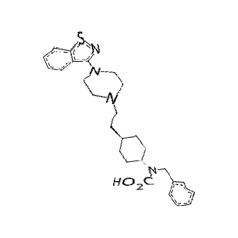 O=C(O)N(Cc1ccccc1)[C@H]1CC[C@H](CCN2CCN(c3nsc4ccccc34)CC2)CC1